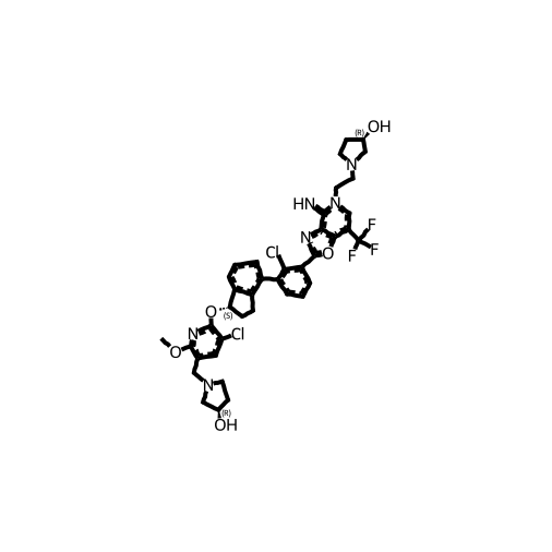 COc1nc(O[C@H]2CCc3c(-c4cccc(-c5nc6c(=N)n(CCN7CC[C@@H](O)C7)cc(C(F)(F)F)c6o5)c4Cl)cccc32)c(Cl)cc1CN1CC[C@@H](O)C1